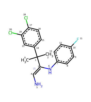 CC(C)(/C(=C/N)Nc1ccc(F)cc1)c1ccc(Cl)c(Cl)c1